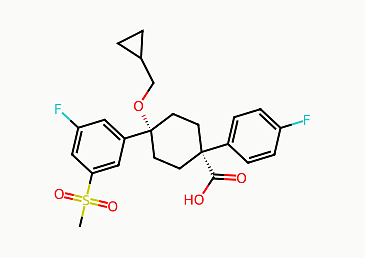 CS(=O)(=O)c1cc(F)cc([C@]2(OCC3CC3)CC[C@](C(=O)O)(c3ccc(F)cc3)CC2)c1